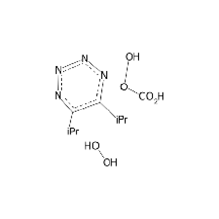 CC(C)c1nnnnc1C(C)C.O=C(O)OO.OO